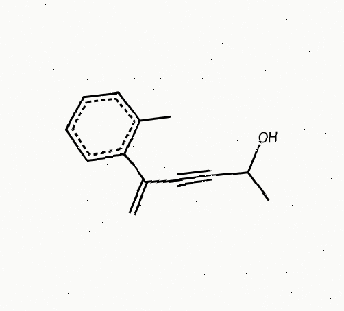 C=C(C#CC(C)O)c1ccccc1C